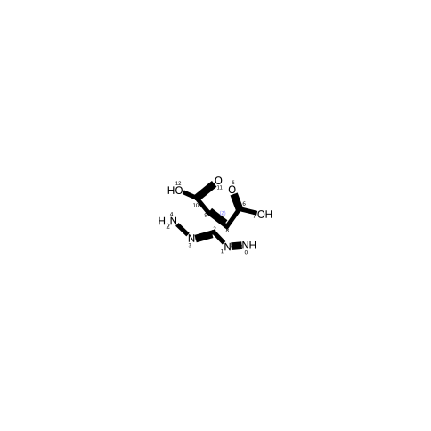 N=NC=NN.O=C(O)/C=C\C(=O)O